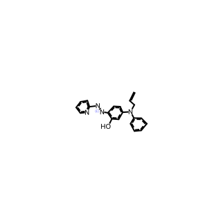 C=CCN(c1ccccc1)c1ccc(/N=N/c2ccccn2)c(O)c1